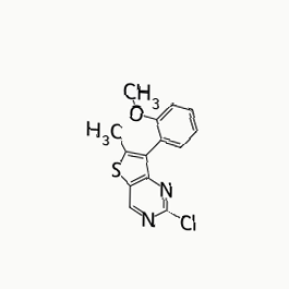 COc1ccccc1-c1c(C)sc2cnc(Cl)nc12